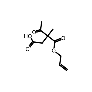 C=CCOC(=O)C(C)(CC(=O)O)C(C)=O